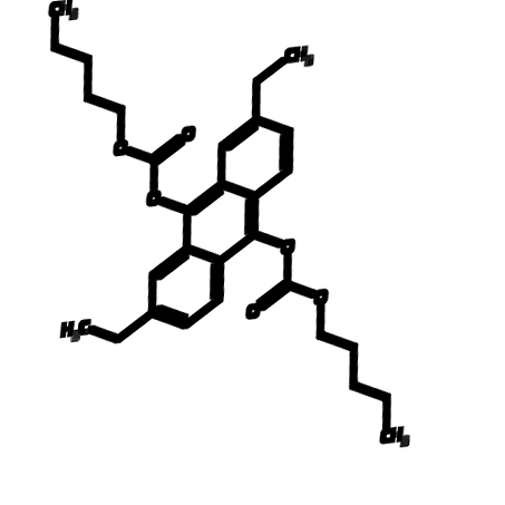 CCCCCOC(=O)Oc1c2ccc(CC)cc2c(OC(=O)OCCCCC)c2cc(CC)ccc12